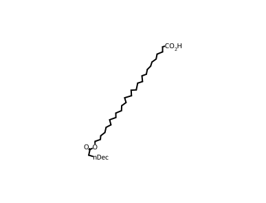 CCCCCCCCCCCC(=O)OCCCCCCCCCCCCCCCCCCCCCCCCCCCC(=O)O